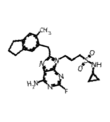 Cc1cc2c(cc1Cc1nc3c(N)nc(F)nc3n1CCCS(=O)(=O)NC1CC1)CCC2